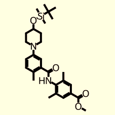 COC(=O)c1cc(C)c(NC(=O)c2cc(N3CCC(O[Si](C)(C)C(C)(C)C)CC3)ccc2C)c(C)c1